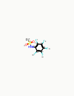 CCS(=O)(=O)Nc1c(F)c(F)c(F)c(F)c1F